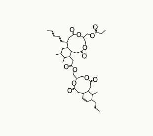 CC=CC=CC1CC(=O)OC(COC(=O)CC)COC(=O)CC2C1CC(C)C(C)C2CC(=O)OCC1COC(=O)CC2C(C=CC(C=CC)C2C)CC(=O)O1